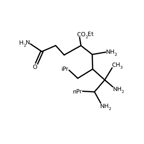 CCCC(N)C(C)(N)C(CC(C)C)C(N)C(CCC(N)=O)C(=O)OCC